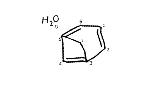 O.c1cc2cc(c1)C2